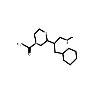 NC(=O)N1CCOC(C(CNI)CC2CCCCC2)C1